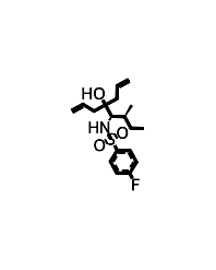 C=CCC(O)(CC=C)[C@@H](NS(=O)(=O)c1ccc(F)cc1)[C@@H](C)CC